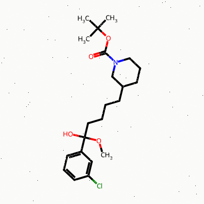 COC(O)(CCCCC1CCCN(C(=O)OC(C)(C)C)C1)c1cccc(Cl)c1